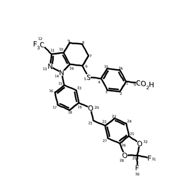 O=C(O)c1ccc(SC2CCCc3c(C(F)(F)F)nn(-c4cccc(OCc5ccc6c(c5)OC(F)(F)O6)c4)c32)cc1